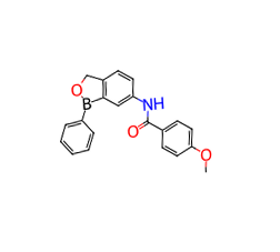 COc1ccc(C(=O)Nc2ccc3c(c2)B(c2ccccc2)OC3)cc1